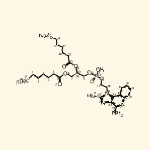 CCCCCCCCCCCCCCCC(=O)OC[C@H](COP(=O)(O)OCCn1c(CCCC)nc2c(N)nc3ccccc3c21)OC(=O)CCCCCCCCCCCCCCC